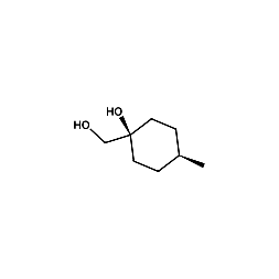 C[C@H]1CC[C@](O)(CO)CC1